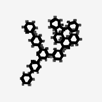 c1ccc(-c2ccc(-c3cc(-c4cccc(-c5nc6ccccc6c6c5ccc5c7ccccc7n(-c7ccccc7)c56)c4)cc(-c4ccc(-c5ccccn5)cc4)n3)nc2)cc1